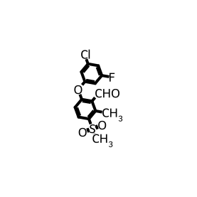 Cc1c(S(C)(=O)=O)ccc(Oc2cc(F)cc(Cl)c2)c1C=O